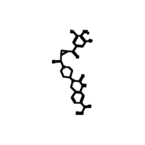 COC(=O)c1ccc2c(c1)NC(=O)N(C1CCN(C(=O)C3CC3C(=O)c3cc(Br)c(N)c(Br)c3)CC1)C2